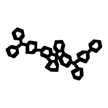 c1ccc(-c2ccc(N(c3ccccc3)c3ccc4c(c3)-c3ccccc3C43c4ccccc4-c4cc(-c5ccc(N(c6ccccc6)c6ccccc6)cc5)ccc43)cc2)cc1